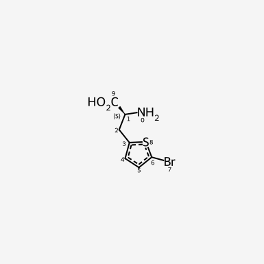 N[C@@H](Cc1ccc(Br)s1)C(=O)O